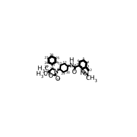 Cn1cc2cccc(C(=O)NC3CCC(N4C(=O)OC(C)(C)[C@@H]4c4ccccc4)CC3)c2n1